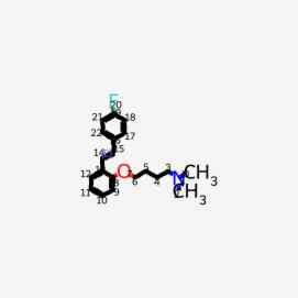 CN(C)CCCCOc1ccccc1/C=C/c1ccc(F)cc1